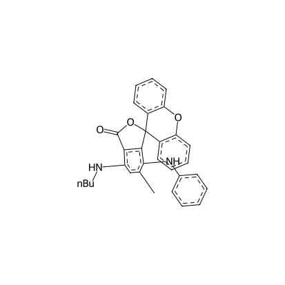 CCCCNc1cc(C)c(Nc2ccccc2)c2c1C(=O)OC21c2ccccc2Oc2ccccc21